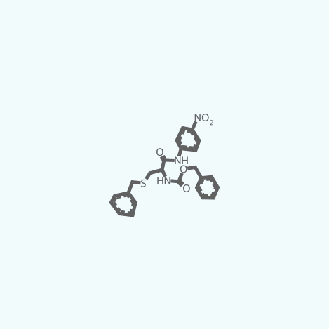 O=C(NC(CSCc1ccccc1)C(=O)Nc1ccc([N+](=O)[O-])cc1)OCc1ccccc1